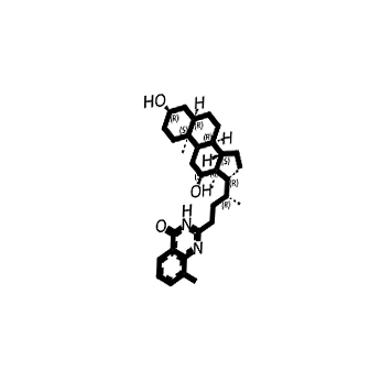 Cc1cccc2c(=O)[nH]c(CC[C@@H](C)[C@H]3CC[C@H]4[C@@H]5CC[C@@H]6C[C@H](O)CC[C@]6(C)C5C[C@H](O)[C@]34C)nc12